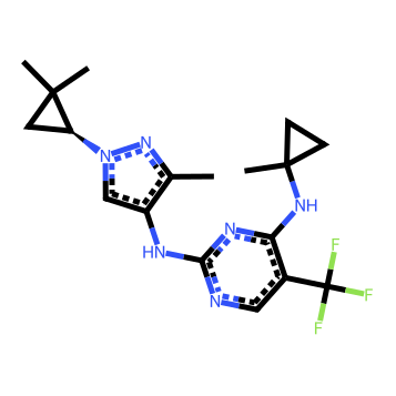 Cc1nn([C@H]2CC2(C)C)cc1Nc1ncc(C(F)(F)F)c(NC2(C)CC2)n1